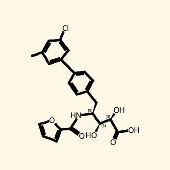 Cc1cc(Cl)cc(-c2ccc(C[C@H](NC(=O)c3ccco3)[C@H](O)[C@@H](O)C(=O)O)cc2)c1